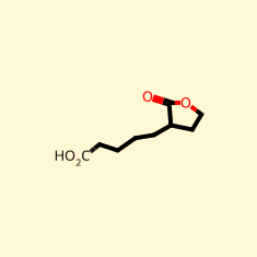 O=C(O)CCCCC1CCOC1=O